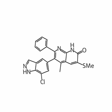 CSc1cc2c(C)c(-c3cc(Cl)c4[nH]ncc4c3)c(-c3ccccc3)nc2[nH]c1=O